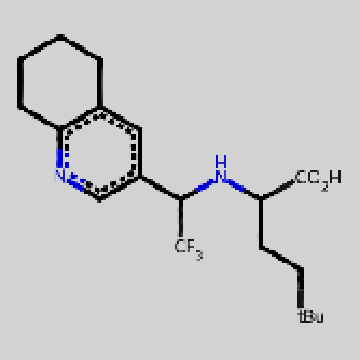 CC(C)(C)CCC(NC(c1cnc2c(c1)CCCC2)C(F)(F)F)C(=O)O